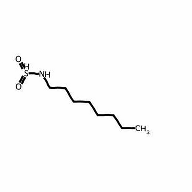 CCCCCCCCN[SH](=O)=O